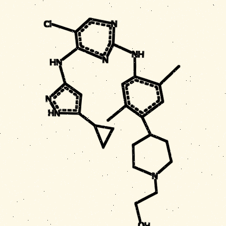 Cc1cc(C2CCN(CCO)CC2)c(C)cc1Nc1ncc(Cl)c(Nc2cc(C3CC3)[nH]n2)n1